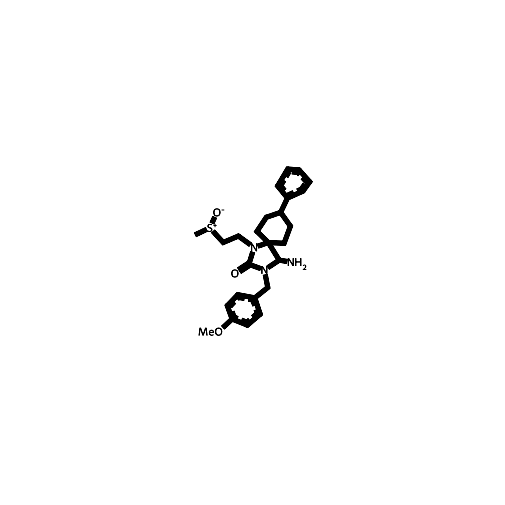 COc1ccc(CN2C(=O)N(CC[S+](C)[O-])C3(CCC(c4ccccc4)CC3)C2N)cc1